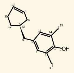 Oc1c(I)cc(C[C@@H]2CC=CCC2)cc1I